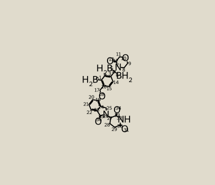 Bc1cc(C(B)(B)N2CCOCC2=O)ccc1COc1cccc2c1CN(C1CCC(=O)NC1=O)C2=O